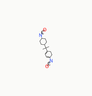 CC(C)(C1=CC=C(N=C=O)CC1)C1CCC(N=C=O)CC1